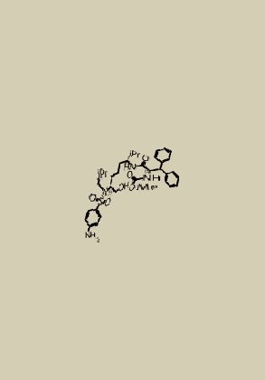 COC(=O)N[C@H](C(=O)N[C@H](CCC[C@@H](CO)N(CC(C)C)S(=O)(=O)c1ccc(N)cc1)C(C)C)C(c1ccccc1)c1ccccc1